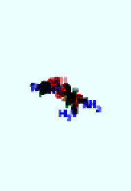 CCc1c(S(=O)(=O)NCP(=O)(O)Oc2ccc(C#N)c(F)c2)sc2c(F)c(OCCN)c(OCCN)c(F)c12